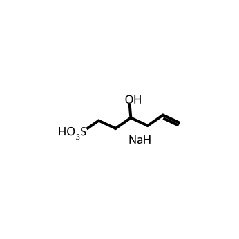 C=CCC(O)CCS(=O)(=O)O.[NaH]